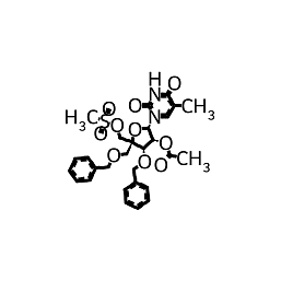 CC(=O)O[C@H]1[C@@H](n2cc(C)c(=O)[nH]c2=O)O[C@@](COCc2ccccc2)(COS(C)(=O)=O)[C@H]1OCc1ccccc1